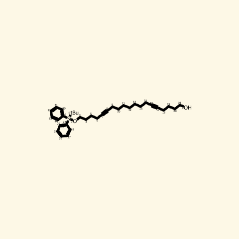 CC(C)(C)[Si](OCCCCC#CCCCCCCCC#CCCCCO)(c1ccccc1)c1ccccc1